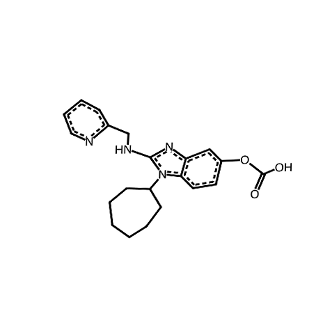 O=C(O)Oc1ccc2c(c1)nc(NCc1ccccn1)n2C1CCCCCC1